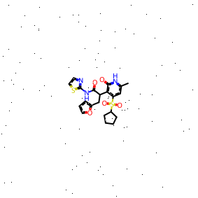 Cc1cc(S(=O)(=O)C2CCCC2)c(C(Cc2ccco2)C(=O)Nc2nccs2)c(=O)[nH]1